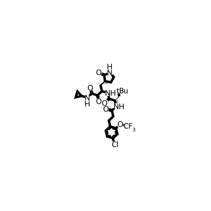 CC(C)(C)C[C@H](NC(=O)CCc1ccc(Cl)cc1OC(F)(F)F)C(=O)NC(C[C@@H]1CCNC1=O)C(=O)C(=O)NC1CC1